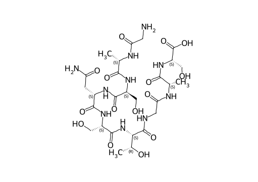 C[C@H](NC(=O)CNC(=O)[C@@H](NC(=O)[C@H](CO)NC(=O)[C@H](CC(N)=O)NC(=O)[C@H](CO)NC(=O)[C@H](C)NC(=O)CN)[C@@H](C)O)C(=O)N[C@@H](CO)C(=O)O